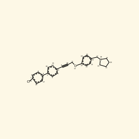 Clc1ccc(-c2ccc(C#CCOc3ccc(CN4CCCC4)cc3)nc2)cc1